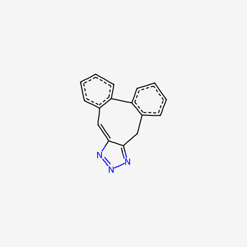 C1=C2N=NN=C2Cc2ccccc2-c2ccccc21